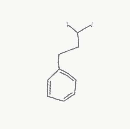 IC(I)CCc1ccccc1